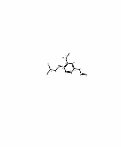 C=CCc1ccc(OCC(C)C)c(OC)c1